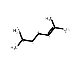 CC(C)=CCCC(C)N